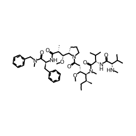 CC[C@H](C)[C@@H]([C@@H](CC(=O)N1CCC[C@H]1[C@H](OC)[C@@H](C)C(=O)N[C@@H](Cc1ccccc1)C(=O)N(C)Cc1ccccc1)OC)N(C)C(=O)[C@@H](NC(=O)[C@@H](NC)C(C)C)C(C)C